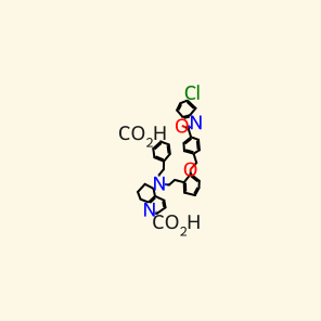 O=C(O)c1ccc(CCN(CCc2ccccc2OCc2ccc(-c3nc4cc(Cl)ccc4o3)cc2)C2CCCc3nc(C(=O)O)ccc32)cc1